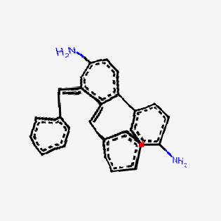 Nc1ccc(-c2ccc(N)c(=Cc3ccccc3)c2=Cc2ccccc2)cc1